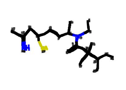 C=C(N(CC)C(C)CCC(S)CC(C)=N)C(C)(C)C(C)CC